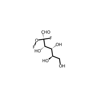 O=C[C@@](F)(OF)[C@@H](O)[C@H](O)[C@H](O)CO